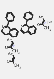 CC(=O)/C=C(/C)[O-].CC(=O)/C=C(/C)[O-].CC(=O)/C=C(/C)[O-].[Ir+3].c1ccc(-c2nccc3ccccc23)cc1.c1ccc(-c2nccc3ccccc23)cc1